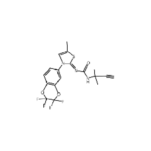 C#CC(C)(C)NC(=O)N=c1sc(C)cn1-c1ccc2c(c1)OC(F)(F)C(F)(F)O2